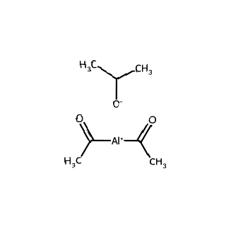 CC(C)[O-].C[C](=O)[Al+][C](C)=O